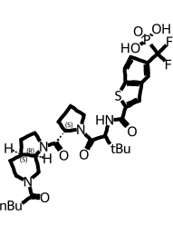 CCCCC(=O)N1CC[C@H]2CCN(C(=O)[C@@H]3CCCN3C(=O)C(NC(=O)c3cc4cc(C(F)(F)P(=O)(O)O)ccc4s3)C(C)(C)C)[C@H]2C1